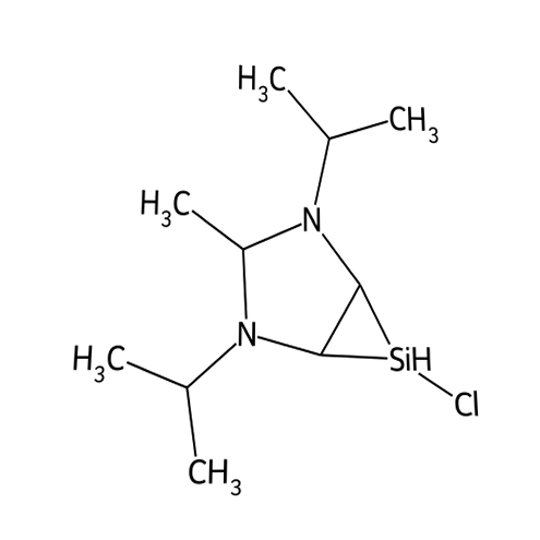 CC(C)N1C(C)N(C(C)C)C2C1[SiH]2Cl